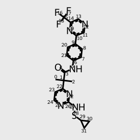 CC(C)(C(=O)Nc1ccc(-c2cncc(C(F)(F)F)n2)cc1)c1ccnc(NSC2CC2)n1